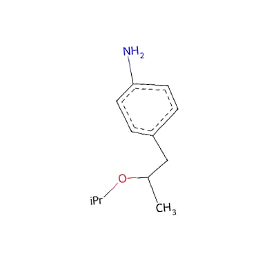 CC(C)OC(C)Cc1ccc(N)cc1